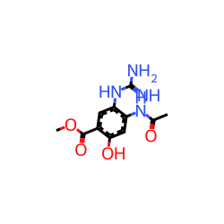 COC(=O)c1cc(NC(=N)N)c(NC(C)=O)cc1O